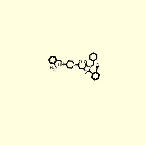 N#Cc1ccccc1C1SC(CC(=O)N2CCC(NCc3ccccc3N)CC2)C(=O)N1CC1CCCCC1